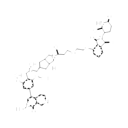 COc1cc(-c2cn(C)c(=O)c3cnccc23)cc(OC)c1CN(C)CC1CC2CN(C(=O)CCOCCOc3cccc4c3C(=O)N(C3CCC(=O)NC3=O)C4=O)C[C@H]2C1